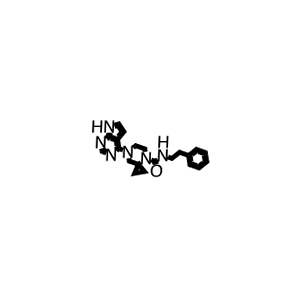 O=C(NCCc1ccccc1)N1CCN(c2ncnc3[nH]ccc23)CC12CC2